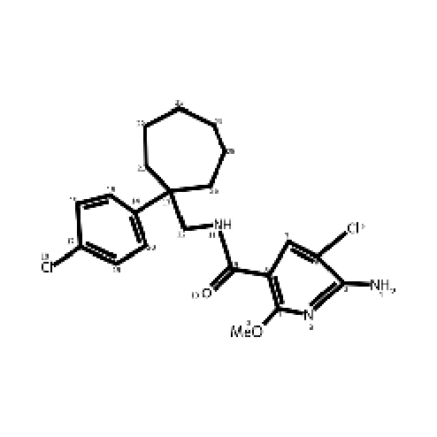 COc1nc(N)c(Cl)cc1C(=O)NCC1(c2ccc(Cl)cc2)CCCCCC1